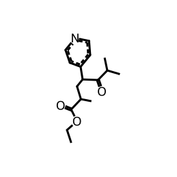 CCOC(=O)C(C)CC(C(=O)C(C)C)c1ccncc1